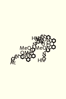 COc1nc(-c2cccc(-c3cccc(-c4ccc(CN5CC6(CCNC6)C5CC(=O)N5CCC6(CN(Cc7ccc(-c8cccc(-c9cccc(-c%10ccc(CN%11CC%12(CCN(C(C)=O)C%12)C%11)c(OC)n%10)c9Cl)c8Cl)nc7OC)C6)C5)c(OC)n4)c3Cl)c2Cl)ccc1CN1CC2(CCNC2)C1